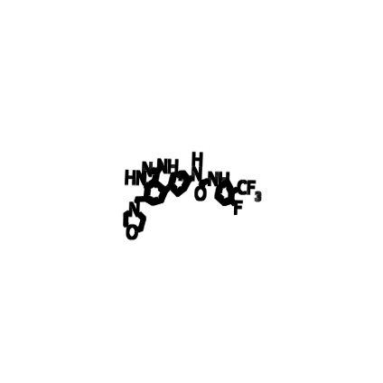 Nc1n[nH]c2c(CN3CCOCC3)ccc(-c3ccc(NC(=O)Nc4ccc(F)c(C(F)(F)F)c4)cc3)c12